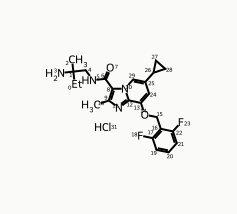 CCC(C)(N)CNC(=O)c1c(C)nc2c(OCc3c(F)cccc3F)cc(C3CC3)cn12.Cl